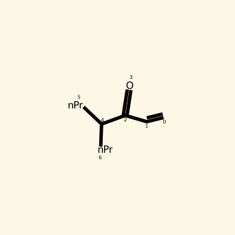 C=CC(=O)C(CCC)CCC